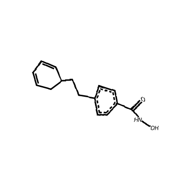 O=C(NO)c1ccc(CCC2C=CC=CC2)cc1